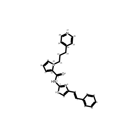 O=C(Nc1nc(C=Cc2ccccc2)cs1)c1cccn1CCCc1ccncc1